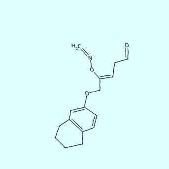 C=NO/C(=C\CC=O)COc1ccc2c(c1)CCCC2